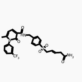 Cc1ccc(C(=O)NCc2ccc(S(=O)(=O)CC=CCC(N)=O)cc2)c(=O)n1-c1cccc(C(F)(F)F)c1